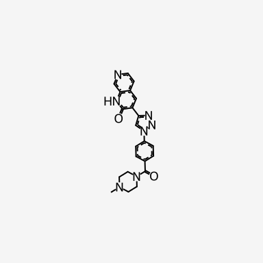 CN1CCN(C(=O)c2ccc(-n3cc(-c4cc5ccncc5[nH]c4=O)nn3)cc2)CC1